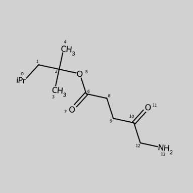 CC(C)CC(C)(C)OC(=O)CCC(=O)CN